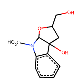 O=C(O)N1c2ccccc2C2(O)CC(CO)OC12